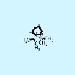 CC(C)[C@@H]1CCCC[C@H]1N(C)C